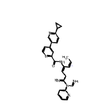 C/C=C\C(=C/CC(=N)N(C=N)c1ccccn1)NC(=O)c1cc(-c2ccc(C3CC3)nc2)ccn1